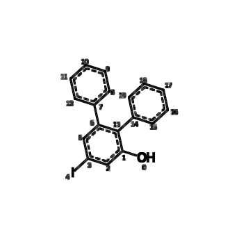 Oc1cc(I)cc(-c2ccccc2)c1-c1ccccc1